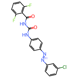 O=C(NC(=O)c1c(F)cccc1F)Nc1ccc(/N=N/c2cccc(Cl)c2)cc1